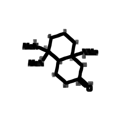 CNC12CCCC(NC)(NC)C1CCC(=O)C2